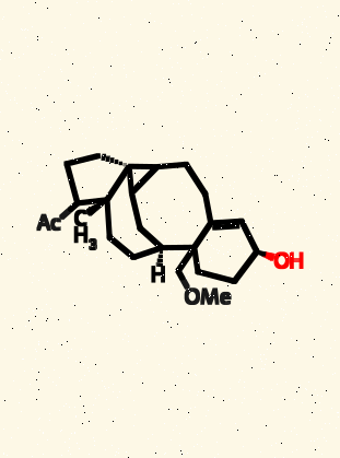 COCC12CC[C@H](O)C=C1CCC1C3C[C@@H]2CC[C@]2(C)C(C(C)=O)CC[C@]132